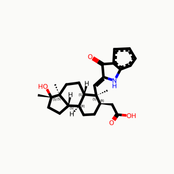 C[C@]1(C=C2Nc3ccccc3C2=O)[C@@H](CC(=O)O)CC[C@@H]2[C@@H]1CC[C@@]1(C)[C@H]2CC[C@]1(C)O